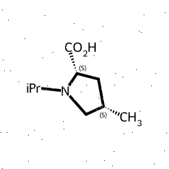 CC(C)N1C[C@@H](C)C[C@H]1C(=O)O